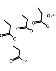 CCC(=O)[O-].CCC(=O)[O-].CCC(=O)[O-].CCC(=O)[O-].[Os+4]